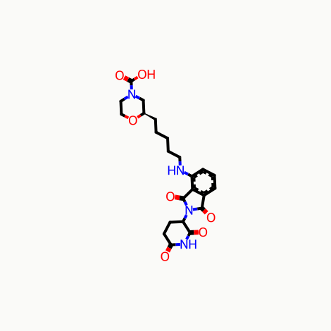 O=C1CCC(N2C(=O)c3cccc(NCCCCC[C@@H]4CN(C(=O)O)CCO4)c3C2=O)C(=O)N1